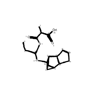 CCC(OC(=O)C(C)C(=O)O)OC1CC2CC1C1CCCC21